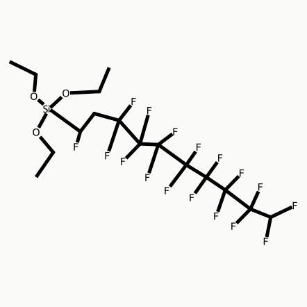 CCO[Si](OCC)(OCC)C(F)CC(F)(F)C(F)(F)C(F)(F)C(F)(F)C(F)(F)C(F)(F)C(F)(F)C(F)F